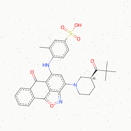 Cc1cc(S(=O)(=O)O)ccc1Nc1cc(N2CCC[C@H](C(=O)C(C)(C)C)C2)c2noc3c2c1C(=O)c1ccccc1-3